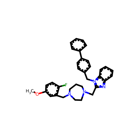 COc1ccc(F)c(CN2CCCN(Cc3nc4ccccc4n3Cc3ccc(-c4ccccc4)cc3)CC2)c1